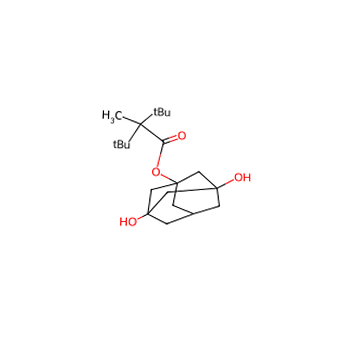 CC(C)(C)C(C)(C(=O)OC12CC3CC(O)(CC(O)(C3)C1)C2)C(C)(C)C